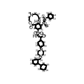 CN1CCOC(=O)c2cc(S(=O)(=O)NC(=O)c3ccc(N4CCN(Cc5ccccc5-c5ccccc5)CC4)cc3)cc([N+](=O)[O-])c2N[C@@H](CSc2ccccc2)CC1